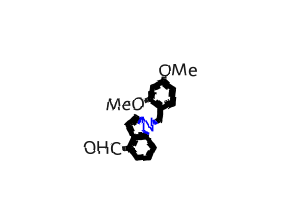 COc1ccc(Cn2ccc3c(C=O)cccc32)c(OC)c1